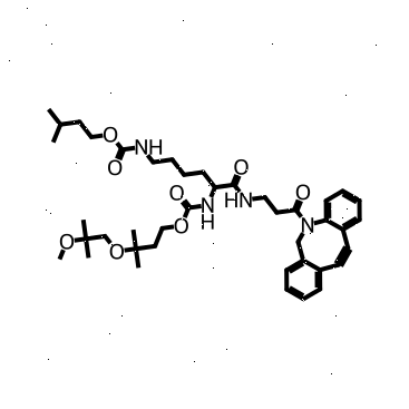 COC(C)(C)COC(C)(C)CCOC(=O)NC(CCCCNC(=O)OCCC(C)C)C(=O)NCCC(=O)N1Cc2ccccc2C#Cc2ccccc21